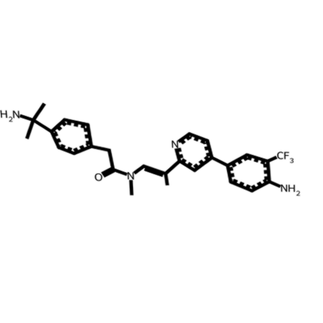 C/C(=C\N(C)C(=O)Cc1ccc(C(C)(C)N)cc1)c1cc(-c2ccc(N)c(C(F)(F)F)c2)ccn1